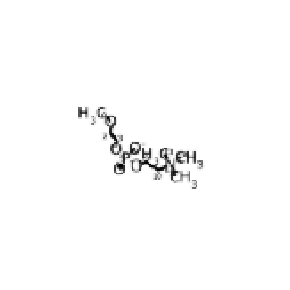 COCCOP(=O)([O-])OCC[N+](C)(C)C